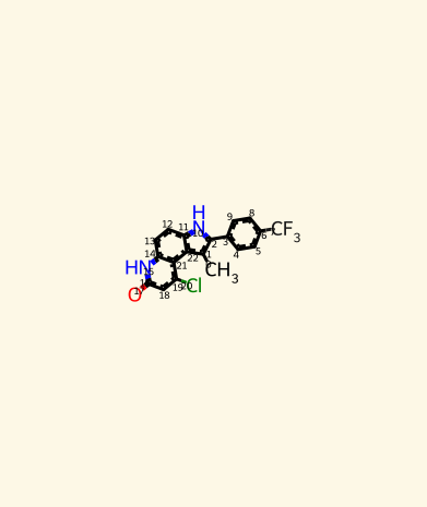 Cc1c(-c2ccc(C(F)(F)F)cc2)[nH]c2ccc3[nH]c(=O)cc(Cl)c3c12